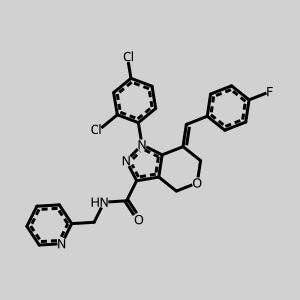 O=C(NCc1ccccn1)c1nn(-c2ccc(Cl)cc2Cl)c2c1COC/C2=C\c1ccc(F)cc1